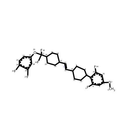 COc1cc(F)c(C2CCC(/C=C/C3CCC(C(F)(F)Oc4ccc(F)c(F)c4)CC3)CC2)c(F)c1